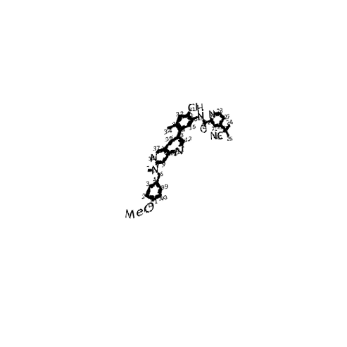 COc1ccc(CN(C)c2cc3ncc(-c4cc(NC(=O)c5cc(C(C)(C)C#N)ccn5)c(Cl)cc4C)cc3cn2)cc1